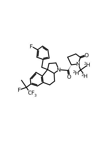 [2H]C([2H])([2H])N1C(=O)CC[C@H]1C(=O)N1CCC2(Cc3cccc(F)c3)c3ccc(C(C)(F)C(F)(F)F)cc3CCC12